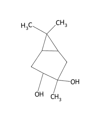 CC1(O)CC2C(CC1O)C2(C)C